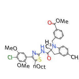 CCCCCCCCc1sc(NC(=O)C2(C)Cc3cc(C)ccc3N2Cc2cccc(C(=O)OC)c2)nc1-c1cc(OC)c(Cl)cc1OC